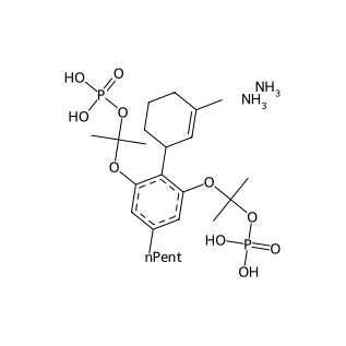 CCCCCc1cc(OC(C)(C)OP(=O)(O)O)c(C2C=C(C)CCC2)c(OC(C)(C)OP(=O)(O)O)c1.N.N